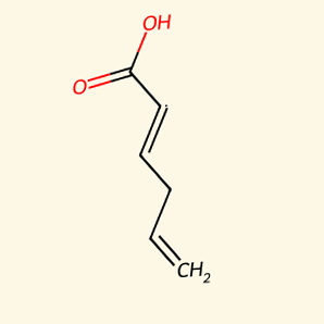 C=CC/C=[C]/C(=O)O